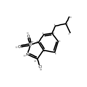 CC(C)Cc1ccc2c(c1)S(=O)(=O)N=C2Cl